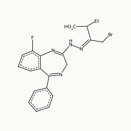 CCC(C(=O)O)C(CBr)=NNC1=Nc2c(F)cccc2C(c2ccccc2)=NC1